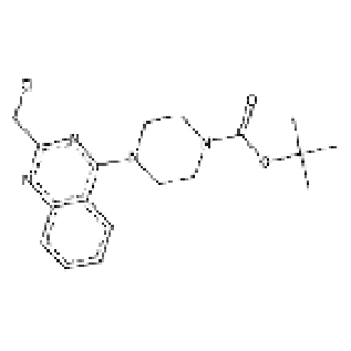 CC(C)(C)OC(=O)N1CCN(c2nc(CCl)nc3ccccc23)CC1